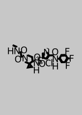 CCNC(=O)C(=O)N1CCC(NS(=O)(=O)c2cn(C)c(C(=O)Nc3cc(F)c(F)c(F)c3)c2Cl)C2(CC2)C1